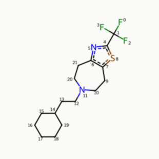 FC(F)(F)c1nc2c(s1)CCN(CCC1CCCCC1)CC2